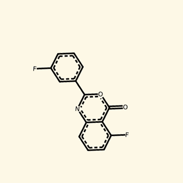 O=c1oc(-c2cccc(F)c2)nc2cccc(F)c12